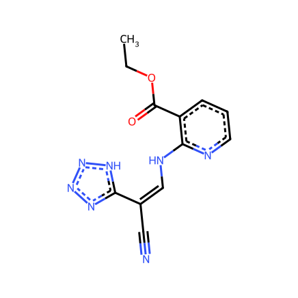 CCOC(=O)c1cccnc1NC=C(C#N)c1nnn[nH]1